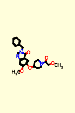 COCC(=O)N1CCC(Oc2cc3c(=O)n(Cc4ccccc4)cnc3cc2OC)CC1